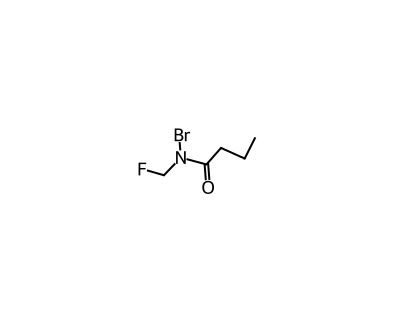 CCCC(=O)N(Br)CF